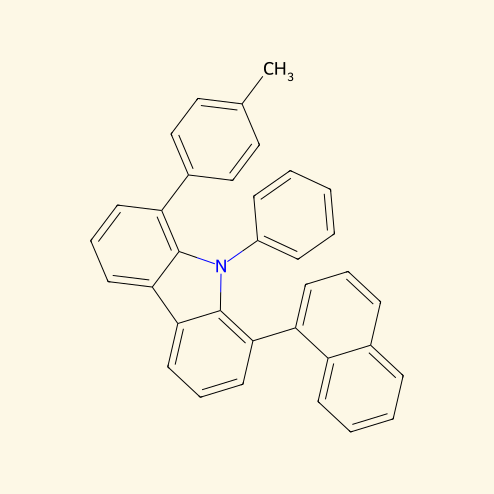 Cc1ccc(-c2cccc3c4cccc(-c5cccc6ccccc56)c4n(-c4ccccc4)c23)cc1